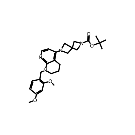 COc1ccc(CN2CCCc3c(N4CC5(CN(C(=O)OC(C)(C)C)C5)C4)ccnc32)c(OC)c1